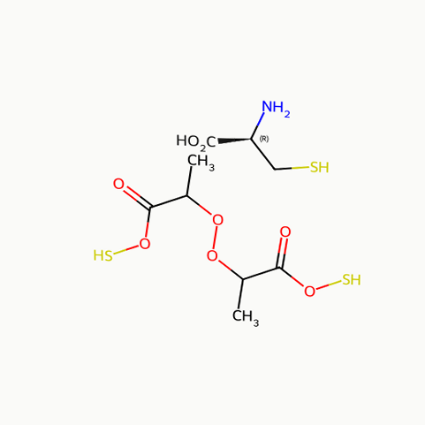 CC(OOC(C)C(=O)OS)C(=O)OS.N[C@@H](CS)C(=O)O